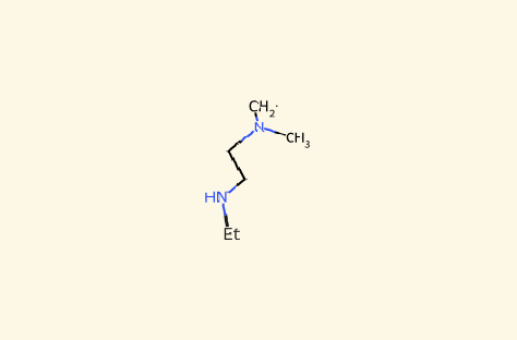 [CH2]CNCCN([CH2])C